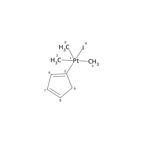 [CH3][Pt]([CH3])([CH3])([I])[C]1=CC=CC1